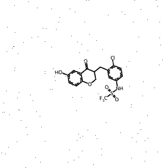 O=C1c2cc(O)ccc2OCC1Cc1cc(NS(=O)(=O)C(F)(F)F)ccc1Cl